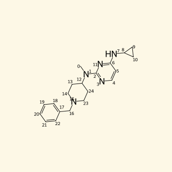 CN(c1nccc(NC2CC2)n1)C1CCN(Cc2ccccc2)CC1